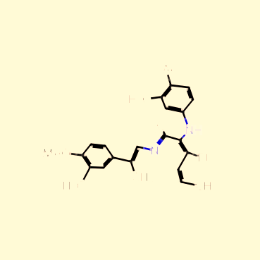 C\C=C/C(CC)=C(Nc1ccc(C(C)=O)c(C)c1)\C(C)=N\C=C(/C)c1ccc(OC)c(C)c1